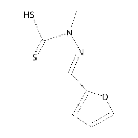 CN(N=Cc1ccco1)C(=S)S